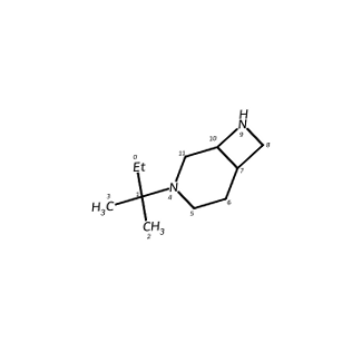 CCC(C)(C)N1CCC2CNC2C1